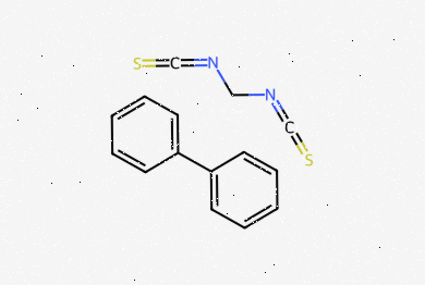 S=C=NCN=C=S.c1ccc(-c2ccccc2)cc1